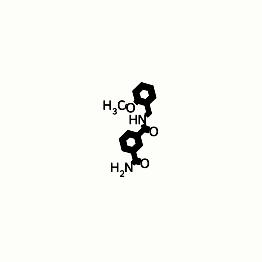 COc1ccccc1CNC(=O)c1cccc(C(N)=O)c1